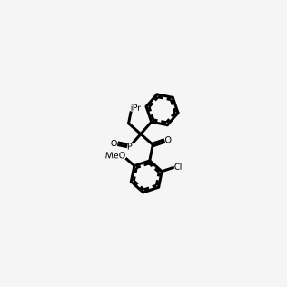 COc1cccc(Cl)c1C(=O)C(CC(C)C)(P=O)c1ccccc1